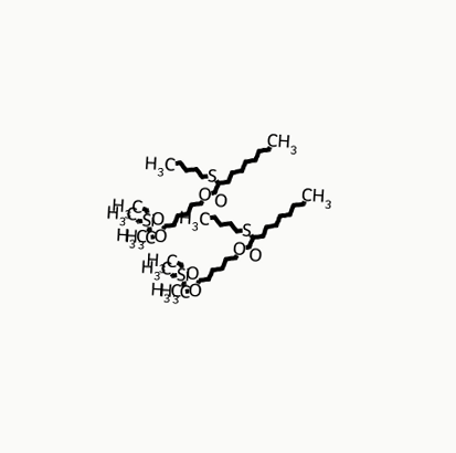 CCCCCCCCC(SCCCCC)C(=O)OCCCCCC(OC)O[Si](CC)(CC)CC.CCCCCCCCC(SCCCCC)C(=O)OCCCCCC(OC)O[Si](CC)(CC)CC